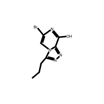 CCCc1nnc2c(O)nc(Br)cn12